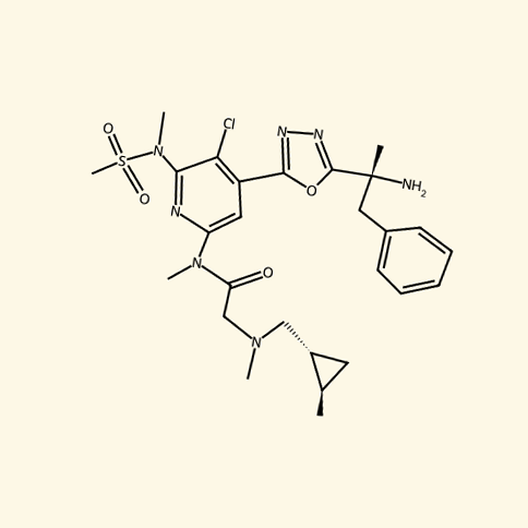 C[C@@H]1C[C@H]1CN(C)CC(=O)N(C)c1cc(-c2nnc([C@](C)(N)Cc3ccccc3)o2)c(Cl)c(N(C)S(C)(=O)=O)n1